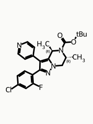 C[C@@H]1Cn2nc(-c3ccc(Cl)cc3F)c(-c3ccncc3)c2[C@@H](C)N1C(=O)OC(C)(C)C